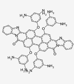 Nc1cc(N)cc(Oc2cc3c(=O)n4c5ccccc5nc4c4cc(Oc5cc(N)cc(N)c5)c5c6c(Oc7cc(N)cc(N)c7)cc7c8c(cc(Oc9cc(N)cc(N)c9)c(c2c5c34)c68)c(=O)n2c3ccccc3nc72)c1